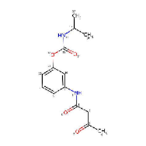 CC(=O)CC(=O)Nc1cccc(OC(=O)NC(C)C)c1